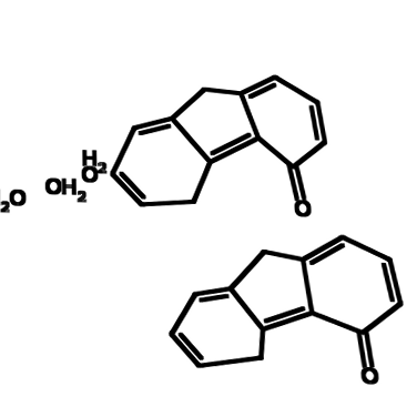 O.O.O.O=C1C=CC=C2CC3=CC=CCC3=C12.O=C1C=CC=C2CC3=CC=CCC3=C12